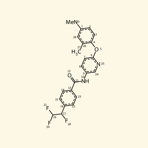 CNc1ccc(Oc2ccc(NC(=O)c3ccc(C(F)C(F)F)cc3)cn2)c(C)c1